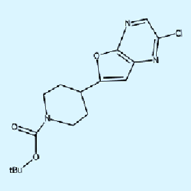 CC(C)(C)OC(=O)N1CCC(c2cc3nc(Cl)cnc3o2)CC1